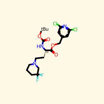 CC(C)(C)OC(=O)N[C@@H](CCN1CCCC(F)(F)C1)C(=O)OCc1cc(Cl)nc(Cl)c1